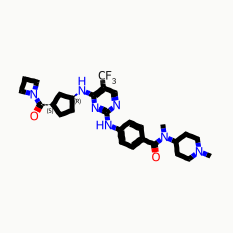 CN1CCC(N(C)C(=O)c2ccc(Nc3ncc(C(F)(F)F)c(N[C@@H]4CC[C@H](C(=O)N5CCC5)C4)n3)cc2)CC1